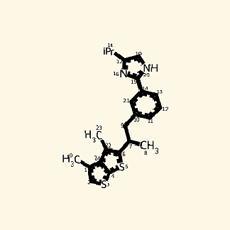 Cc1csc2sc(C(C)Cc3cccc(-c4nc(C(C)C)c[nH]4)c3)c(C)c12